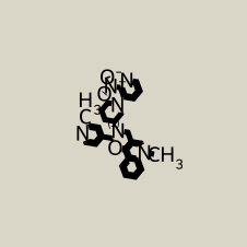 Cc1cc(CN(Cc2cn(C)c3ccccc3c2=O)[C@H]2CCCN(c3cccnc3[N+](=O)[O-])C2)ccn1